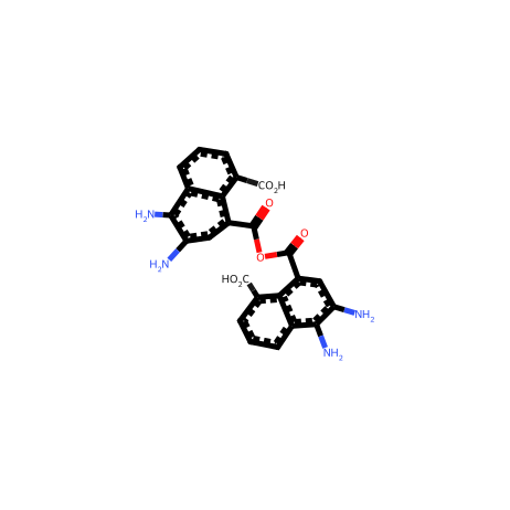 Nc1cc(C(=O)OC(=O)c2cc(N)c(N)c3cccc(C(=O)O)c23)c2c(C(=O)O)cccc2c1N